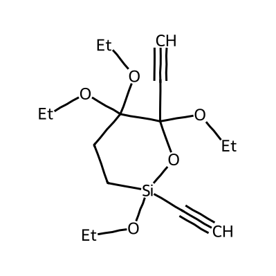 C#CC1(OCC)O[Si](C#C)(OCC)CCC1(OCC)OCC